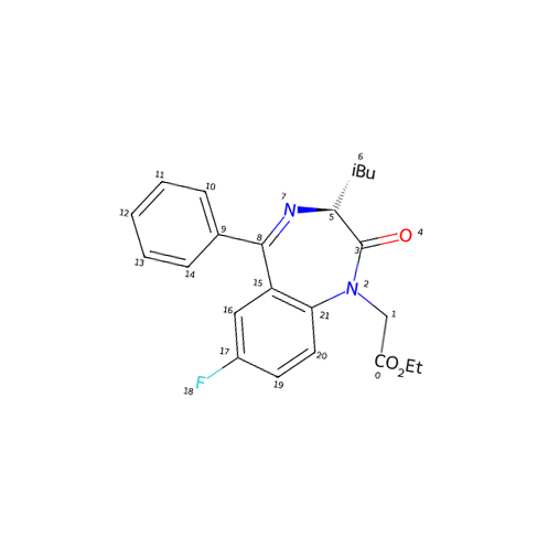 CCOC(=O)CN1C(=O)[C@H]([C@@H](C)CC)N=C(c2ccccc2)c2cc(F)ccc21